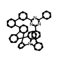 c1ccc(-c2nc(-c3ccccc3)nc(-c3cccc(-c4ccccc4-c4cccc5c4-c4ccccc4C54c5ccccc5-n5c6ccccc6c6cccc4c65)c3)n2)cc1